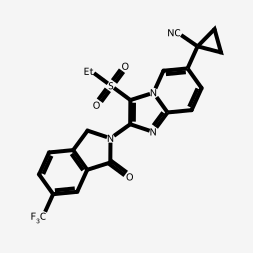 CCS(=O)(=O)c1c(N2Cc3ccc(C(F)(F)F)cc3C2=O)nc2ccc(C3(C#N)CC3)cn12